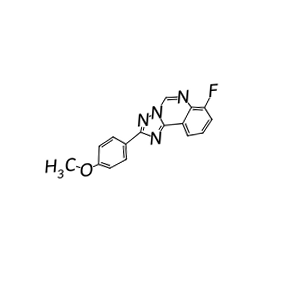 COc1ccc(-c2nc3c4cccc(F)c4ncn3n2)cc1